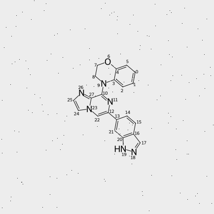 c1ccc2c(c1)OCCN2c1nc(-c2ccc3cn[nH]c3c2)cn2ccnc12